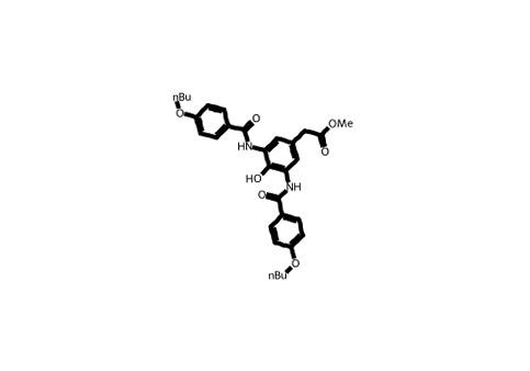 CCCCOc1ccc(C(=O)Nc2cc(CC(=O)OC)cc(NC(=O)c3ccc(OCCCC)cc3)c2O)cc1